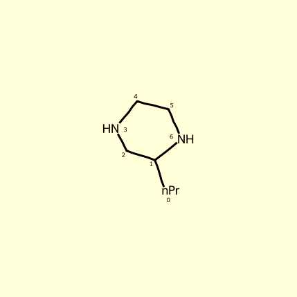 CCCC1CNCCN1